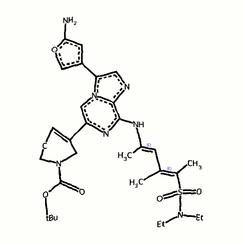 CCN(CC)S(=O)(=O)/C(C)=C(C)/C=C(\C)Nc1nc(C2=CCCN(C(=O)OC(C)(C)C)C2)cn2c(-c3coc(N)c3)cnc12